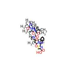 CC[C@H](C)[C@@H]([C@@H](CC(=O)N1CCC[C@H]1[C@H](OC)[C@@H](C)C(=O)N[C@@H](Cc1ccccc1)c1nc(C(=O)O)cs1)OC)N(C)C(=O)[C@@H](NC(=O)[C@H](C(C)C)N(C)C)C(C)C